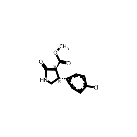 COC(=O)[C@@H]1C(=O)NC[C@H]1c1ccc(Cl)cc1